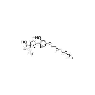 COCCOCCOc1cnc(C2=NC(C)(C(=O)O)CN2)c(O)c1